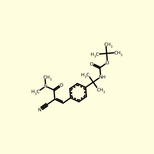 CN(C)C(=O)C(C#N)=Cc1ccc(C(C)(C)NC(=O)OC(C)(C)C)cc1